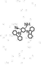 N#Cc1cc(C=N)c(-n2c3ccccc3c3ccccc32)cc1-n1c2ccccc2c2ccccc21